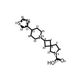 O=C(O)N1CCC2(CC(N3CCC(c4cscn4)CC3)C2)C1